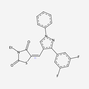 CCN1C(=O)S/C(=C/c2cn(-c3ccccc3)nc2-c2cc(F)cc(F)c2)C1=O